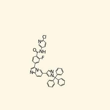 O=C(Nc1ccc(Cl)nc1)c1ccc(-c2cnc3ccc(-c4cnn(C(c5ccccc5)(c5ccccc5)c5ccccc5)c4)cn23)cc1F